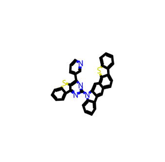 c1cncc(-c2nc(-n3c4ccccc4c4cc5ccc6c7ccccc7sc6c5cc43)nc3c2sc2ccccc23)c1